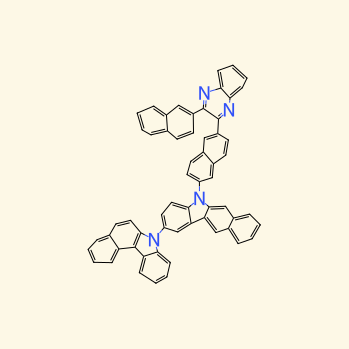 c1ccc2cc(-c3nc4ccccc4nc3-c3ccc4cc(-n5c6ccc(-n7c8ccccc8c8c9ccccc9ccc87)cc6c6cc7ccccc7cc65)ccc4c3)ccc2c1